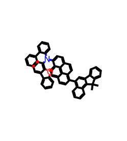 CC1(C)c2ccccc2-c2cc(-c3ccc4ccc5c(N(c6ccccc6-c6ccccc6)c6cccc7c6oc6ccccc67)ccc6ccc3c4c65)c3ccccc3c21